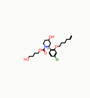 C=CCCCCOc1cc(Br)ccc1[C@@H]1CC(O)CCN1C(=O)OCCCCO